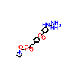 N=C(N)Nc1ccc(C(=O)Oc2ccc(C=CC(=O)OCC(=O)N3CCCC3)cc2)cc1